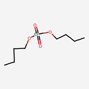 CCCC[O][Cr](=[O])(=[O])[O]CCCC